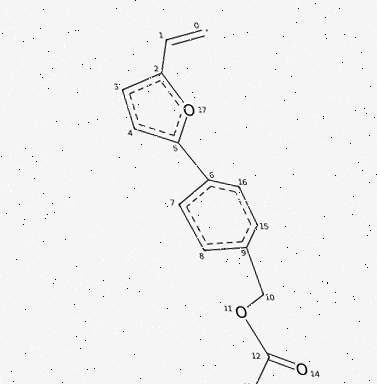 [CH]=Cc1ccc(-c2ccc(COC(C)=O)cc2)o1